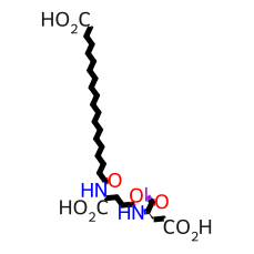 O=C(O)CCCCCCCCCCCCCCCCCCC(=O)N[C@@H](CCC(=O)N[C@@H](CCC(=O)O)C(=O)I)C(=O)O